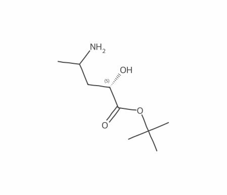 CC(N)C[C@H](O)C(=O)OC(C)(C)C